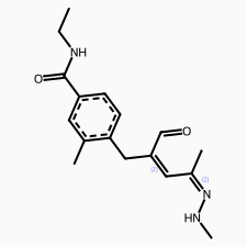 CCNC(=O)c1ccc(C/C(C=O)=C/C(C)=N\NC)c(C)c1